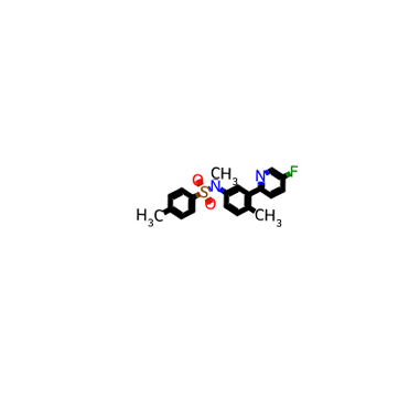 Cc1ccc(S(=O)(=O)N(C)c2ccc(C)c(-c3ccc(F)cn3)c2)cc1